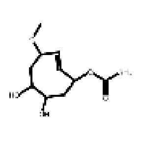 COC1/C=C/C(OC(N)=O)CC(O)C(O)C1